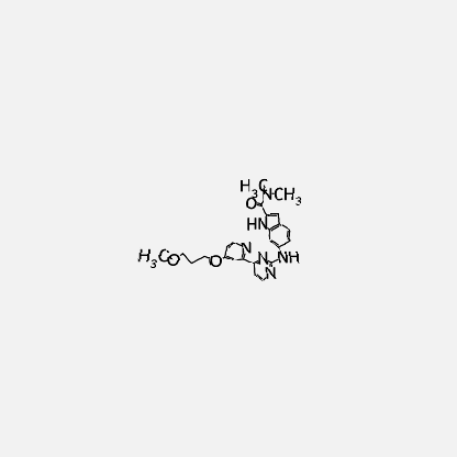 COCCCOc1ccnc(-c2ccnc(Nc3ccc4cc(C(=O)N(C)C)[nH]c4c3)n2)c1